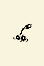 Brc1ccc2c(c1)Oc1cc(Br)cnc1N2CCCCCN1CC2COCC(C2)C1